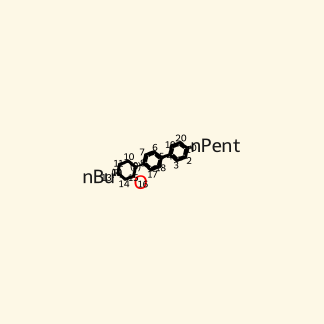 CCCCCc1ccc(-c2ccc([C@@H]3CC[C@@H](CCCC)CC3=O)cc2)cc1